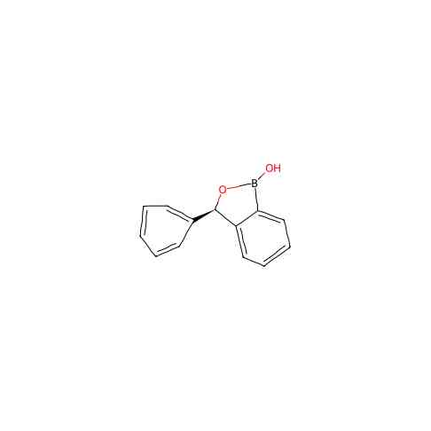 OB1O[C@H](c2ccccc2)c2ccccc21